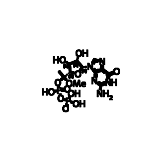 COC(C)(OP(=O)(O)OP(=O)(O)O)[C@H]1O[C@@H](n2cnc3c(=O)[nH]c(N)nc32)[C@H](O)[C@@H]1O